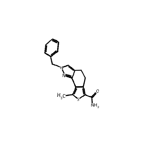 Cc1sc(C(N)=O)c2c1-c1nn(Cc3ccccc3)cc1CC2